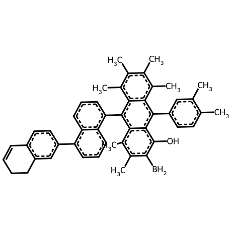 Bc1c(C)c(C)c2c(-c3cccc4c(-c5ccc6c(c5)CCC=C6)cccc34)c3c(C)c(C)c(C)c(C)c3c(-c3ccc(C)c(C)c3)c2c1O